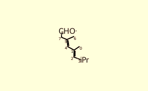 CC(=C\C(C)C)/C=C(\C)C[C]=O